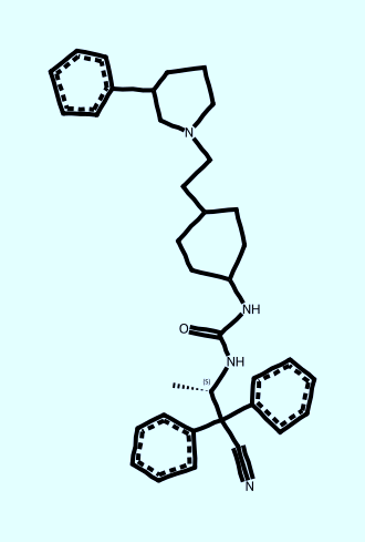 C[C@H](NC(=O)NC1CCC(CCN2CCCC(c3ccccc3)C2)CC1)C(C#N)(c1ccccc1)c1ccccc1